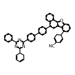 N#CC1=CCC(c2cccc3oc4c5ccccc5c(-c5ccc(-c6ccc(-c7nc(-c8ccccc8)nc(C8C=CC=CC8)n7)cc6)cc5)cc4c23)C=C1